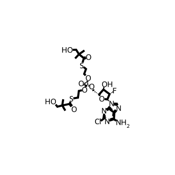 CC(C)(CO)C(=O)SCCOP(=O)(OCCSC(=O)C(C)(C)CO)OC[C@H]1O[C@@H](n2cnc3c(N)nc(Cl)nc32)[C@@H](F)[C@@H]1O